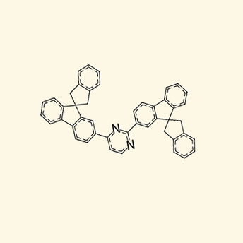 c1ccc2c(c1)CC1(C2)c2ccccc2-c2ccc(-c3ccnc(-c4ccc5c(c4)C4(Cc6ccccc6C4)c4ccccc4-5)n3)cc21